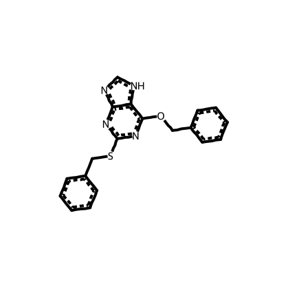 c1ccc(COc2nc(SCc3ccccc3)nc3nc[nH]c23)cc1